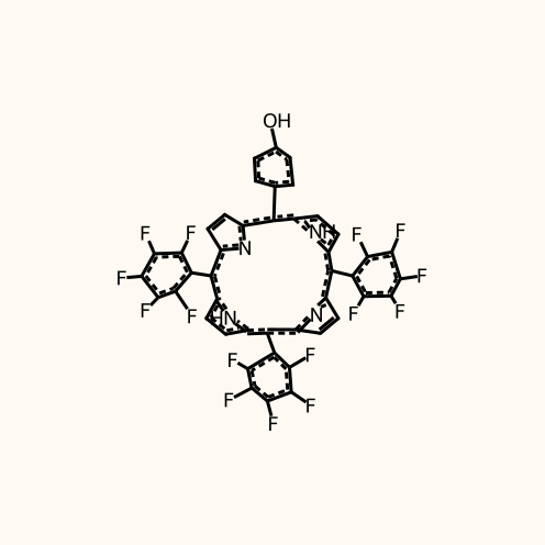 Oc1ccc(-c2c3nc(c(-c4c(F)c(F)c(F)c(F)c4F)c4ccc([nH]4)c(-c4c(F)c(F)c(F)c(F)c4F)c4nc(c(-c5c(F)c(F)c(F)c(F)c5F)c5ccc2[nH]5)C=C4)C=C3)cc1